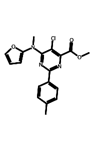 COC(=O)c1nc(-c2ccc(C)cc2)nc(N(C)c2ccco2)c1Cl